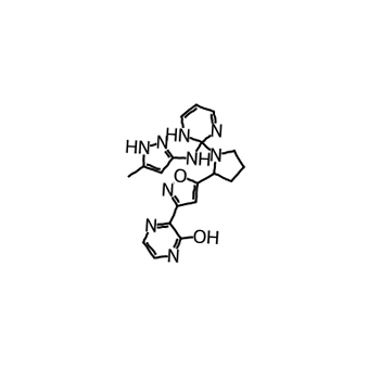 Cc1cc(NC2(N3CCCC3c3cc(-c4nccnc4O)no3)N=CC=CN2)n[nH]1